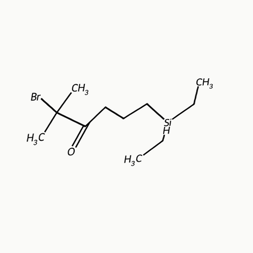 CC[SiH](CC)CCCC(=O)C(C)(C)Br